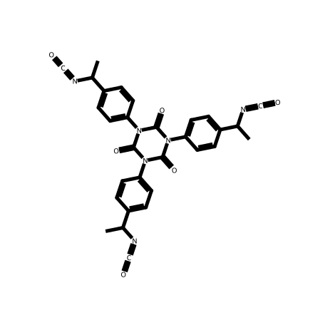 CC(N=C=O)c1ccc(-n2c(=O)n(-c3ccc(C(C)N=C=O)cc3)c(=O)n(-c3ccc(C(C)N=C=O)cc3)c2=O)cc1